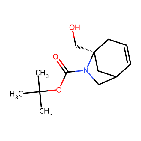 CC(C)(C)OC(=O)N1CC2C=CC[C@@]1(CO)C2